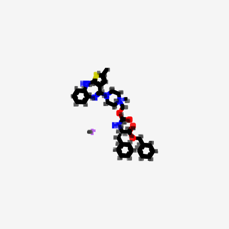 Cc1cc2c(s1)Nc1ccccc1N=C2N1CC[N+](C)(COC(=O)N[C@@H](Cc2ccccc2)C(=O)OCc2ccccc2)CC1.[I-]